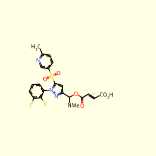 CNC(OC(=O)/C=C/C(=O)O)c1cc(S(=O)(=O)c2ccc(C)nc2)n(-c2cccc(F)c2F)n1